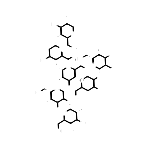 CC1C(O)[C@H](O)[C@H](CO)O[C@H]1OC1C(O)[C@H](O)C(CO)O[C@@H]1OCC1O[C@@H](O[C@@H]2C(CO)O[C@@H](O[C@@H]3C(CO)O[C@@H](C)[C@@H](C)C3O)[C@@H](C)C2O)[C@H](O)C(O[C@H]2O[C@H](CO)[C@@H](O)C(O)C2O[C@@H]2OC(CO)[C@@H](O)C(O)[C@@H]2C)[C@@H]1O